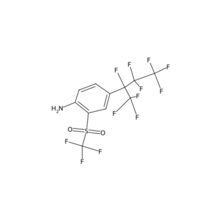 Nc1ccc(C(F)(C(F)(F)F)C(F)(F)C(F)(F)F)cc1S(=O)(=O)C(F)(F)F